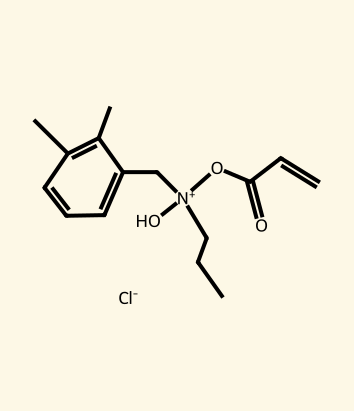 C=CC(=O)O[N+](O)(CCC)Cc1cccc(C)c1C.[Cl-]